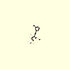 COC(=O)c1cc(F)cc(C#Cc2c(NC(=O)C(F)(F)F)nc(N(C)C(=O)OC(C)(C)C)c3ncn(C)c23)c1